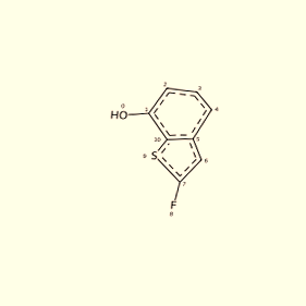 Oc1cccc2cc(F)sc12